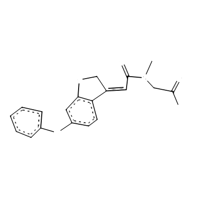 CN(CC(=O)O)C(=O)/C=C1\COc2cc(Oc3ccccc3)ccc21